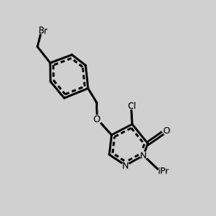 CC(C)n1ncc(OCc2ccc(CBr)cc2)c(Cl)c1=O